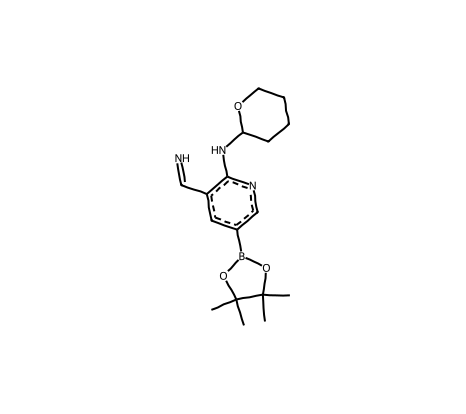 CC1(C)OB(c2cnc(NC3CCCCO3)c(C=N)c2)OC1(C)C